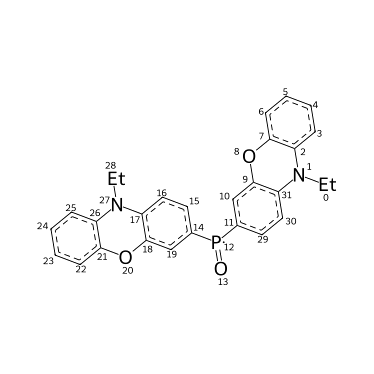 CCN1c2ccccc2Oc2cc([P](=O)c3ccc4c(c3)Oc3ccccc3N4CC)ccc21